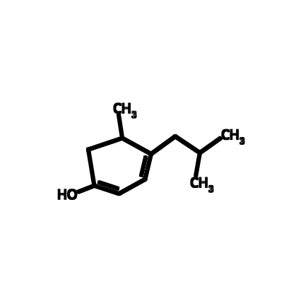 CC(C)CC1=CC=C(O)CC1C